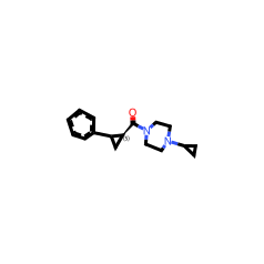 O=C([C@H]1CC1c1ccccc1)N1CCN(C2CC2)CC1